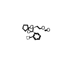 O=COCC[C@@H]1OC2(CCCC2)O[C@H]1c1ccccc1Cl